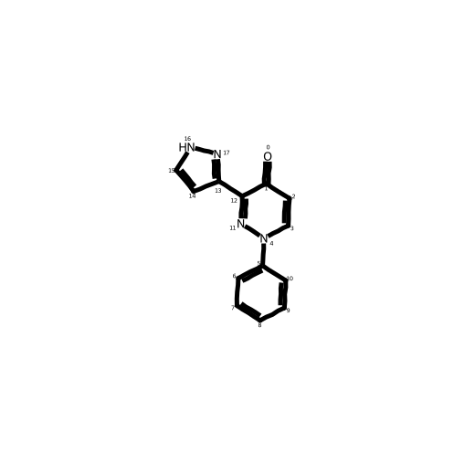 O=c1ccn(-c2ccccc2)nc1-c1cc[nH]n1